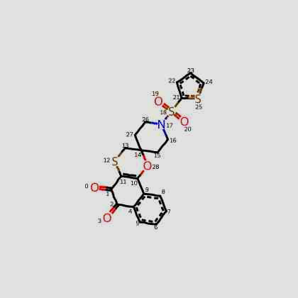 O=C1C(=O)c2ccccc2C2=C1SCC1(CCN(S(=O)(=O)c3cccs3)CC1)O2